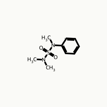 CN(C)S(=O)(=O)N(C)c1[c]cccc1